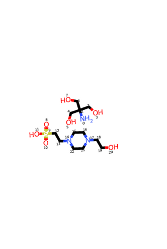 NC(CO)(CO)CO.O=S(=O)(O)CCN1CCN(CCO)CC1